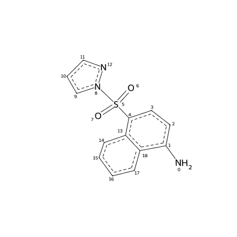 Nc1ccc(S(=O)(=O)n2cccn2)c2ccccc12